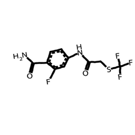 NC(=O)c1ccc(NC(=O)CSC(F)(F)F)cc1F